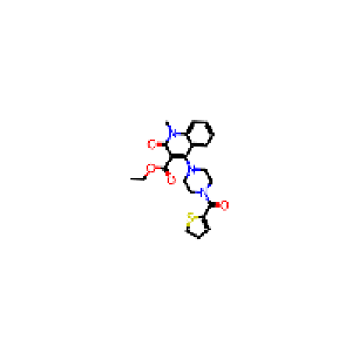 CCOC(=O)c1c(N2CCN(C(=O)C3=CCCS3)CC2)c2ccccc2n(C)c1=O